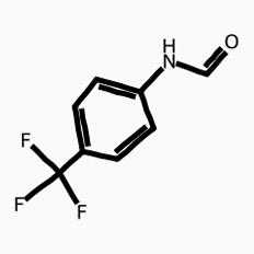 O=CNc1ccc(C(F)(F)F)cc1